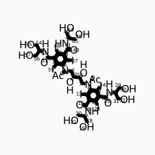 CC(=O)N(CC(O)C(O)CN(C(C)=O)c1c(I)c(C(=O)NC(CO)CO)c(I)c(C(=O)NC(CO)CO)c1I)c1c(I)c(C(=O)NC(CO)CO)c(I)c(C(=O)NC(CO)CO)c1I